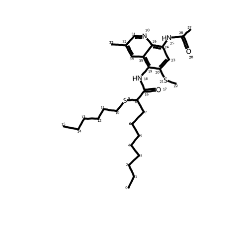 CCCCCCCCC(SCCCCCC)C(=O)Nc1c(SC)cc(NC(C)=O)c2ncc(C)cc12